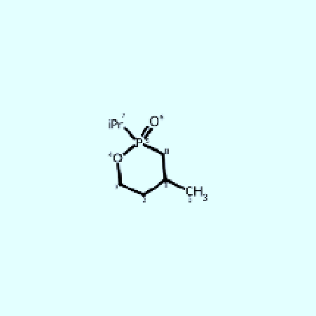 CC1CCOP(=O)(C(C)C)C1